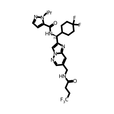 CC(C)n1nccc1C(=O)N[C@H](c1cn2ncc(CNC(=O)CCC(F)(F)F)cc2n1)C1CCC(F)(F)CC1